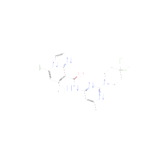 Cc1cc(NC(=O)c2c(Cl)cc(Cl)n3ccnc23)nc(N2CCC(F)(F)CC2)n1